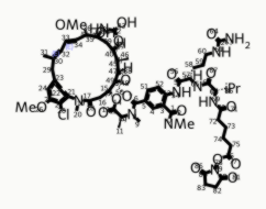 CNC(=O)c1cc(C(=O)N(C)[C@@H](C)C(=O)O[C@H]2CC(=O)N(C)c3cc(cc(OC)c3Cl)C/C(C)=C/C=C/[C@@H](OC)[C@@]3(O)C[C@H](OC(O)N3)[C@@H](C)[C@@H]3O[C@@]23C)ccc1NC(=O)[C@H](CCCNC(N)=O)NC(=O)[C@@H](NC(=O)CCCCC(=O)ON1C(=O)CCC1=O)C(C)C